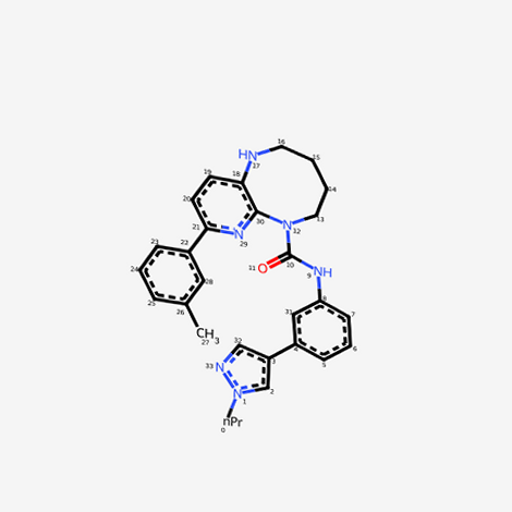 CCCn1cc(-c2cccc(NC(=O)N3CCCCNc4ccc(-c5cccc(C)c5)nc43)c2)cn1